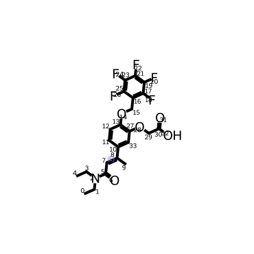 CCN(CC)C(=O)/C=C(\C)c1ccc(OCc2c(F)c(F)c(F)c(F)c2F)c(OCC(=O)O)c1